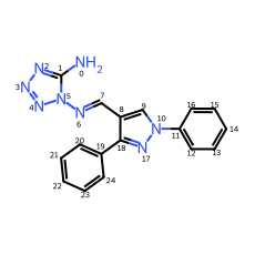 Nc1nnnn1/N=C/c1cn(-c2ccccc2)nc1-c1ccccc1